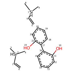 C=C[SiH](C)C.C=C[SiH](C)C.Oc1ccccc1-c1ccccc1O